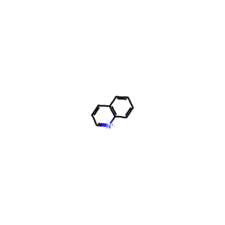 [c]1cccc2c1C=CC=[N+]2